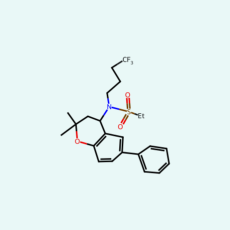 CCS(=O)(=O)N(CCCC(F)(F)F)C1CC(C)(C)Oc2ccc(-c3ccccc3)cc21